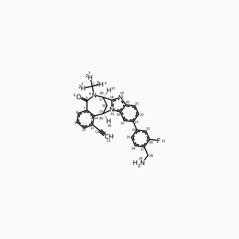 [2H]C([2H])([2H])N1C(=O)c2cccc(C#C)c2[C@H]2C[C@@H]1c1nc3ccc(-c4ccc(CN)c(F)c4)cc3n12